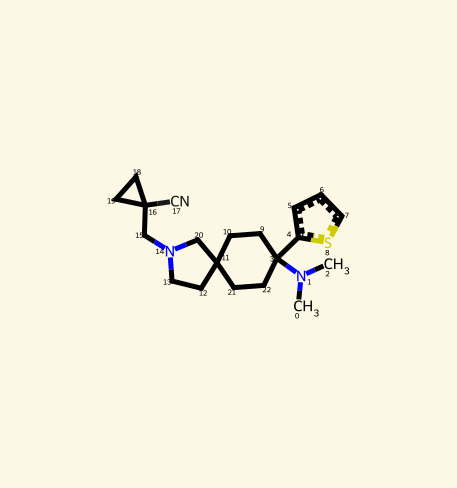 CN(C)C1(c2cccs2)CCC2(CCN(CC3(C#N)CC3)C2)CC1